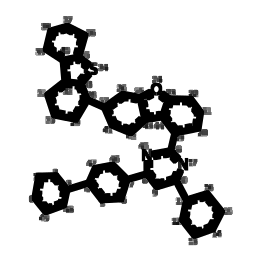 c1ccc(-c2ccc(-c3cc(-c4ccccc4)nc(-c4cccc5oc6cc(-c7cccc8c7sc7ccccc78)ccc6c45)n3)cc2)cc1